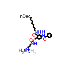 CCCCCCCCCCCCCCCCCCNC(=O)c1cc(NC(=O)c2ccccc2)ccc1COC(=O)NCCCN(C)C